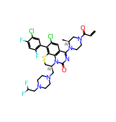 C=CC(=O)N1CCN(c2nc(=O)n3c4c(c(-c5cc(Cl)c(F)cc5F)c(Cl)cc24)SC[C@@H]3CN2CCN(CC(F)F)CC2)[C@@H](C)C1